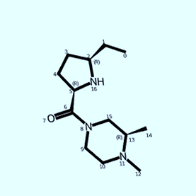 CC[C@@H]1CC[C@H](C(=O)N2CCN(C)[C@H](C)C2)N1